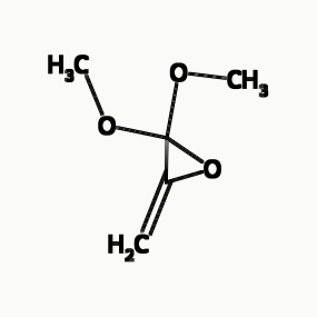 C=C1OC1(OC)OC